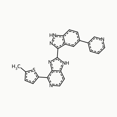 Cc1ccc(-c2nccc3[nH]c(-c4n[nH]c5ccc(-c6cccnc6)cc45)nc23)s1